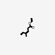 C=COC(=O)CC=C(C)C=C